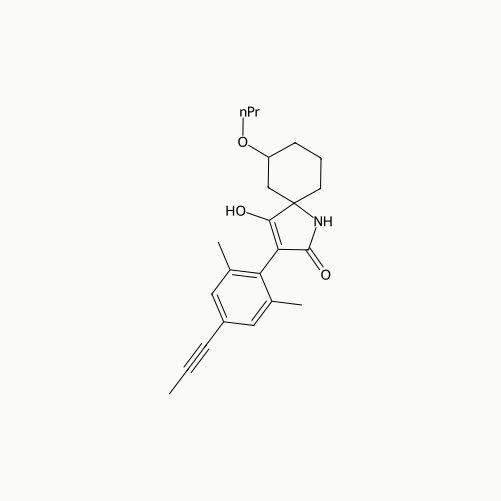 CC#Cc1cc(C)c(C2=C(O)C3(CCCC(OCCC)C3)NC2=O)c(C)c1